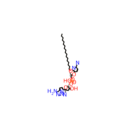 CCCCCCCCCCCCCCCCCCOC[C@H](COP(=O)(O)OC[C@H]1O[C@@](C#N)(c2ccc3c(N)ncnn23)C[C@@H]1O)Oc1ccc(C#N)nc1